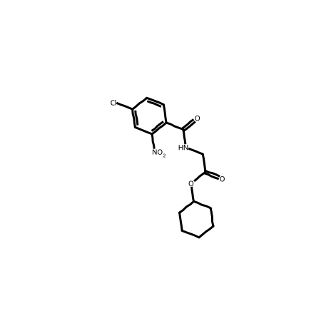 O=C(CNC(=O)c1ccc(Cl)cc1[N+](=O)[O-])OC1CCCCC1